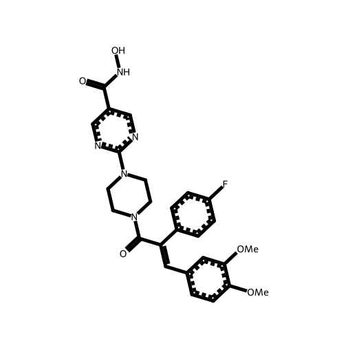 COc1ccc(C=C(C(=O)N2CCN(c3ncc(C(=O)NO)cn3)CC2)c2ccc(F)cc2)cc1OC